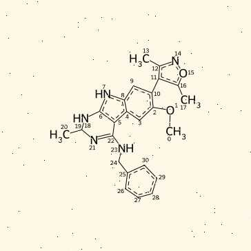 COc1cc2c3c([nH]c2cc1-c1c(C)noc1C)NC(C)N=C3NCc1ccccc1